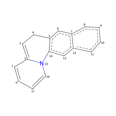 C1=CC2=CCc3cc4ccccc4cc3N2C=C1